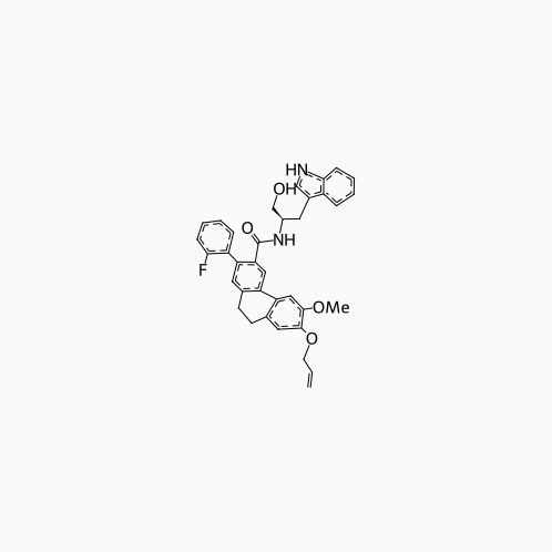 C=CCOc1cc2c(cc1OC)-c1cc(C(=O)N[C@@H](CO)Cc3c[nH]c4ccccc34)c(-c3ccccc3F)cc1CC2